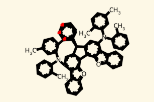 Cc1ccc(C)c(N(c2ccccc2C)c2cc3c(c4oc5ccccc5c24)-c2c4cc(c5c2oc2ccccc25)N(c2ccccc2C)c2cc(C)ccc2-c2ccccc2C34c2ccccc2)c1